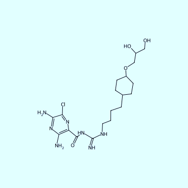 N=C(NCCCCC1CCC(OCC(O)CO)CC1)NC(=O)c1nc(Cl)c(N)nc1N